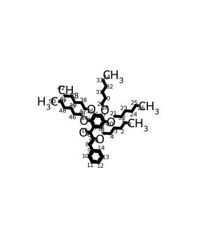 CCCCCCOC(=Cc1ccccc1)C(=O)c1cc(OCCCCCC)c(OCCCCCC)c(OCCCCCC)c1OCCCCCC